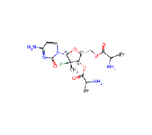 CC(C)C(N)C(=O)OC[C@H]1O[C@@H](n2ccc(N)nc2=O)C(C)(F)[C@H]1OC(=O)C(N)C(C)C